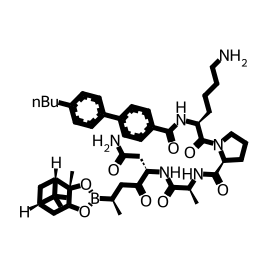 CCCCc1ccc(-c2ccc(C(=O)N[C@@H](CCCCN)C(=O)N3CCC[C@H]3C(=O)N[C@@H](C)C(=O)N[C@@H](CC(N)=O)C(=O)C[C@@H](C)B3OC4C[C@@H]5C[C@@H](C5(C)C)[C@]4(C)O3)cc2)cc1